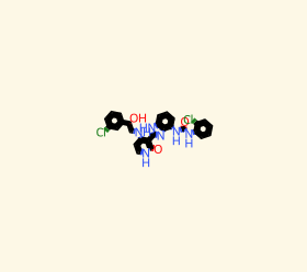 O=C(Nc1ccccc1Cl)Nc1cccc2[nH]c(-c3c(NC[C@H](O)c4cccc(Cl)c4)cc[nH]c3=O)nc12